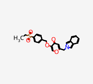 CCS(=O)(=O)c1ccc(COc2coc(Cn3cc4ccccc4c3)cc2=O)cc1